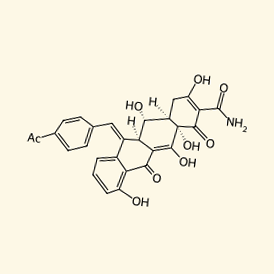 CC(=O)c1ccc(/C=C2\c3cccc(O)c3C(=O)C3=C(O)[C@]4(O)C(=O)C(C(N)=O)=C(O)C[C@@H]4[C@@H](O)[C@@H]32)cc1